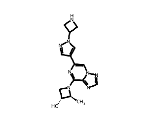 C[C@H]1[C@H](O)CN1c1nc(-c2cnn(C3CNC3)c2)cn2ncnc12